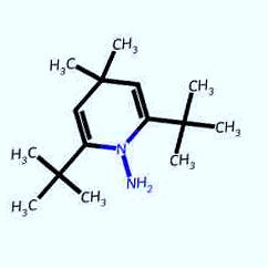 CC1(C)C=C(C(C)(C)C)N(N)C(C(C)(C)C)=C1